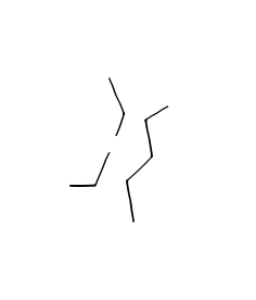 CCCC[O-].C[CH2][Ga+][CH2]C